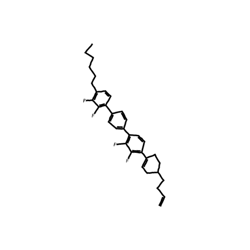 C=CCCC1CC=C(c2ccc(-c3ccc(-c4ccc(CCCCCC)c(F)c4F)cc3)c(F)c2F)CC1